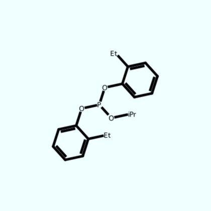 CCc1ccccc1OP(Oc1ccccc1CC)OC(C)C